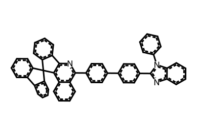 c1ccc(-n2c(-c3ccc(-c4ccc(-c5nc6c(c7ccccc57)C5(c7ccccc7-c7ccccc75)c5ccccc5-6)cc4)cc3)nc3ccccc32)cc1